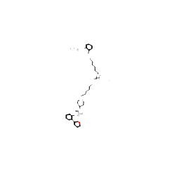 COc1ccccc1COCCCCCC[N+](C)(C)CCCCCCCCN1CCC(OC(=O)Nc2ccccc2-c2ccccc2)CC1